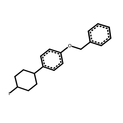 IC1CCC(c2ccc(OCc3ccccc3)cc2)CC1